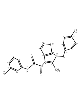 Cc1c(C(=O)C(=O)Nc2cccc(Cl)c2)c2ccsc2n1Cc1ccc(Cl)cc1